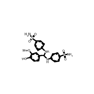 COc1cc(C(Nc2ccc(S(N)(=O)=O)cc2)Nc2ccc(S(N)(=O)=O)cc2)ccc1O